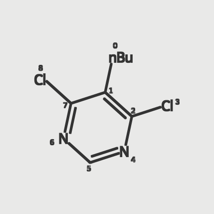 CCCCc1c(Cl)ncnc1Cl